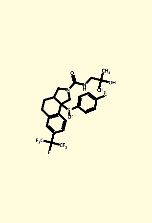 CC(C)(O)CNC(=O)N1CC2CCc3cc(C(F)(C(F)(F)F)C(F)(F)F)ccc3C2([S+]([O-])c2ccc(F)cc2)C1